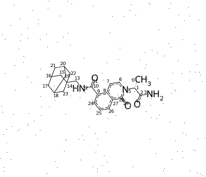 C[C@H](C(N)=O)n1ccc2c(C(=O)NCC34CC5CC(CC(C5)C3)C4)cccc2c1=O